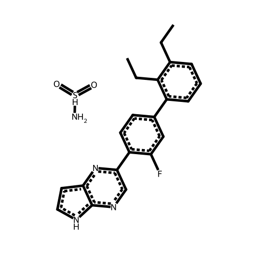 CCc1cccc(-c2ccc(-c3cnc4[nH]ccc4n3)c(F)c2)c1CC.N[SH](=O)=O